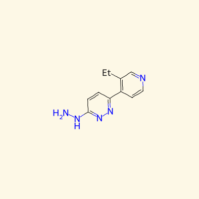 CCc1cnccc1-c1ccc(NN)nn1